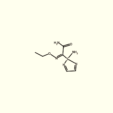 CCON=C(C(N)=O)S1(N)N=CC=N1